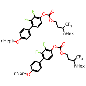 CCCCCCCCCOc1ccc(-c2ccc(OC(=O)OCCC(CCCCCC)C(F)(F)F)c(F)c2F)cc1.CCCCCCCOc1ccc(-c2ccc(OC(=O)OCCC(CCCCCC)C(F)(F)F)c(F)c2F)cc1